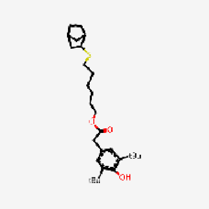 CC(C)(C)c1cc(CC(=O)OCCCCCCSC2CC3CCC2C3)cc(C(C)(C)C)c1O